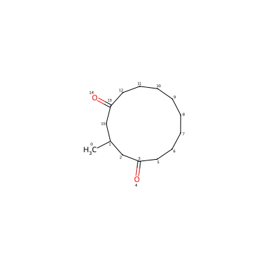 CC1CC(=O)CCCCCCCCC(=O)C1